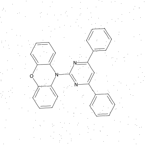 c1ccc(-c2cc(-c3ccccc3)nc(N3c4ccccc4Oc4ccccc43)n2)cc1